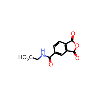 O=C(O)CNC(=O)c1ccc2c(c1)C(=O)OC2=O